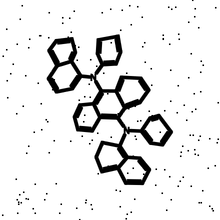 C1=c2ccccc2=C(N(c2ccccc2)c2c3ccccc3c(N(c3ccccc3)c3cccc4ccccc34)c3ccccc23)CC1